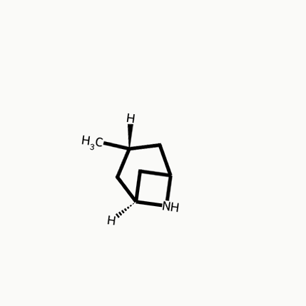 C[C@@H]1CC2C[C@H](C1)N2